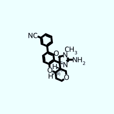 CN1C(=O)[C@]2(N=C1N)c1cc(-c3cccc(C#N)c3)ccc1O[C@@H]1CCOC[C@H]12